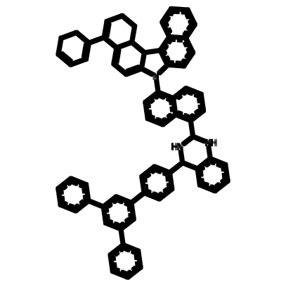 C1=CCCC(C2=CCCC3C2=CC=C2C3c3c(ccc4ccccc34)N2c2cccc3c(C4Nc5ccccc5C(c5ccc(-c6cc(-c7ccccc7)cc(-c7ccccc7)c6)cc5)N4)cccc23)=C1